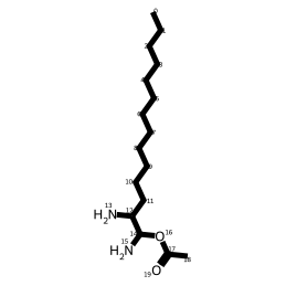 CCCCCCCCCCCCC(N)C(N)OC(C)=O